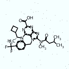 CC(C)CC(=O)N(C)c1nc2nc(C(=O)O)nc(N[C@H](C)C3CCC3)c2n1Cc1ccc(C(F)(F)F)cc1